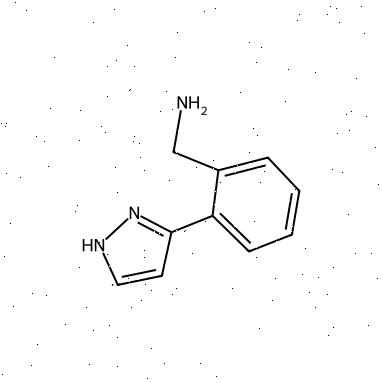 NCc1ccccc1-c1c[c][nH]n1